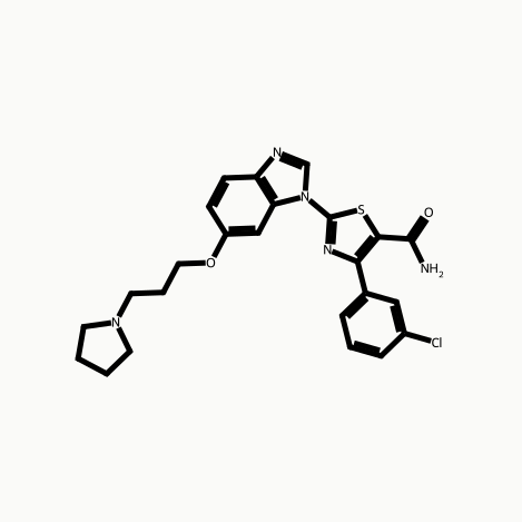 NC(=O)c1sc(-n2cnc3ccc(OCCCN4CCCC4)cc32)nc1-c1cccc(Cl)c1